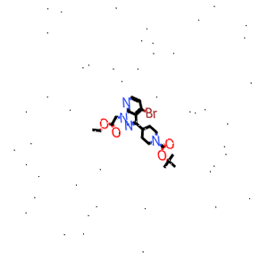 CCOC(=O)Cn1nc(C2CCN(C(=O)OC(C)(C)C)CC2)c2c(Br)ccnc21